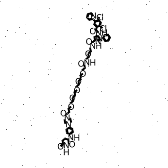 O=C(CCOCCOCCOCCOCCOCCC(=O)N1CCN(c2ccc(NC3CCC(=O)NC3=O)cc2)CC1)NCCOCCNC(=O)c1cc(NC(=O)c2cc(-c3ccccn3)c(Cl)cc2Cl)n(-c2ccccc2)n1